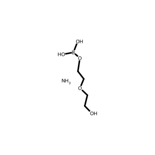 N.OCCOCCOB(O)O